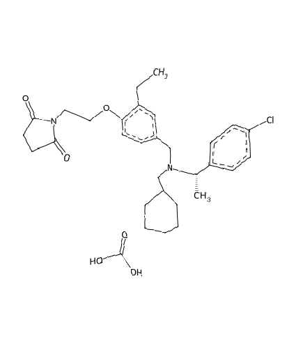 CCc1cc(CN(CC2CCCCC2)[C@@H](C)c2ccc(Cl)cc2)ccc1OCCN1C(=O)CCC1=O.O=C(O)O